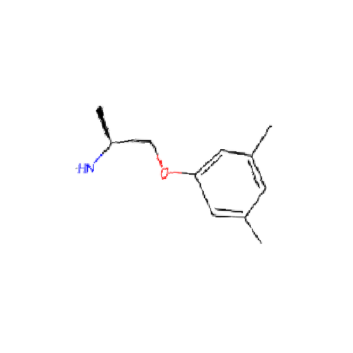 Cc1cc(C)cc(OC[C@H](C)[NH])c1